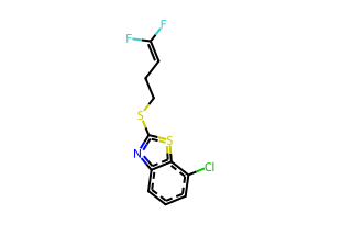 FC(F)=CCCSc1nc2cccc(Cl)c2s1